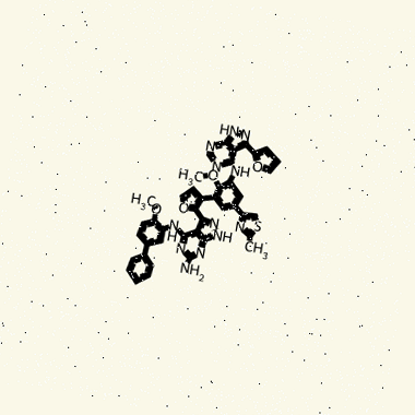 COc1ccc(-c2ccccc2)cc1Nc1nc(N)nc2[nH]nc(-c3occc3-c3cc(-c4csc(C)n4)cc(Nc4ncnc5[nH]nc(-c6ccco6)c45)c3OC)c12